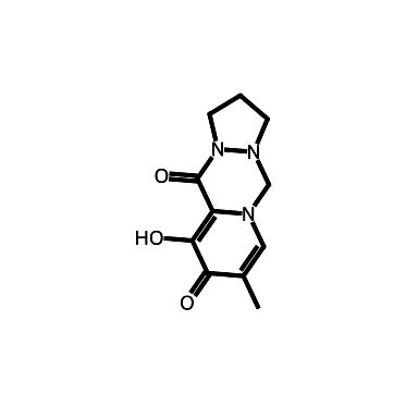 Cc1cn2c(c(O)c1=O)C(=O)N1CCCN1C2